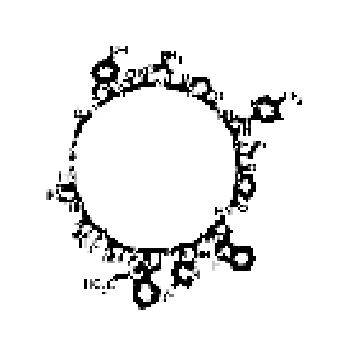 CCCC[C@H]1C(=O)N(C)[C@@H](CCCC)C(=O)N[C@@H](CC(C)C)C(=O)NCCSCC(=O)N[C@@H](Cc2ccc(O)cc2)C(=O)N(C)[C@@H](C)C(=O)N[C@@H](CC(N)=O)C(=O)N2CCCC2C(=O)N[C@@H](CNc2ccc(C(F)(F)F)cn2)C(=O)N[C@@H](CC(C)C)C(=O)N2CCCC2C(=O)N[C@@H](Cc2c[nH]c3ccccc23)C(=O)NC(Nc2ccc(C(F)(F)F)cn2)C(=O)N[C@@H](Cc2cn(CC(=O)O)c3ccccc23)C(=O)N1C